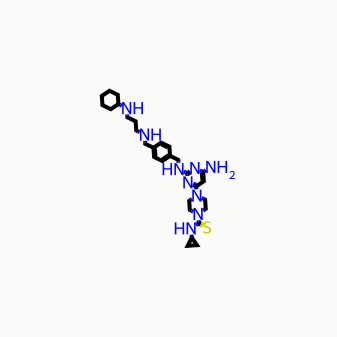 Nc1cc(N2CCN(C(=S)NC3CC3)CC2)nc(NCc2ccc(CNCCCNC3CCCCC3)cc2)n1